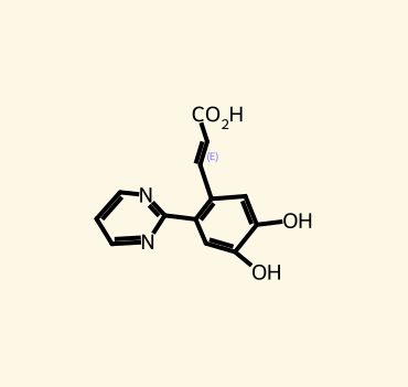 O=C(O)/C=C/c1cc(O)c(O)cc1-c1ncccn1